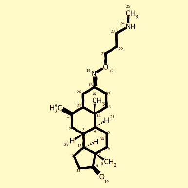 C=C1C[C@@H]2[C@H](CC[C@]3(C)C(=O)CC[C@@H]23)[C@@]2(C)CCC(=NOCCCNC)CC12